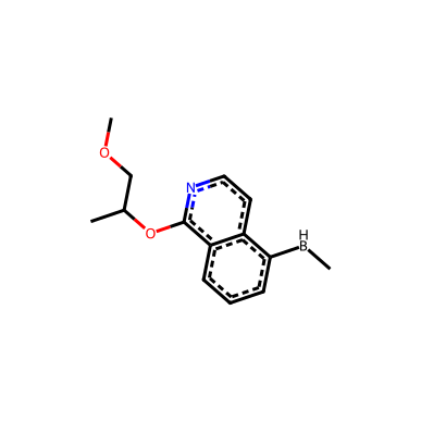 CBc1cccc2c(OC(C)COC)nccc12